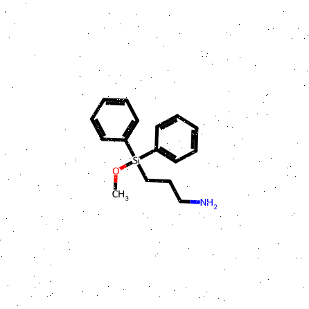 CO[Si](CCCN)(c1ccccc1)c1ccccc1